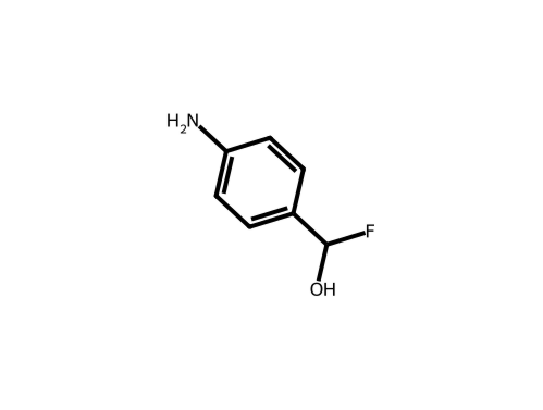 Nc1ccc(C(O)F)cc1